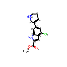 COC(=O)c1cc2c(Cl)cc(C3=CCCNC3)cc2[nH]1